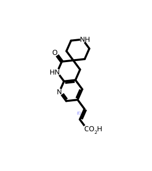 O=C(O)/C=C/c1cnc2c(c1)CC1(CCNCC1)C(=O)N2